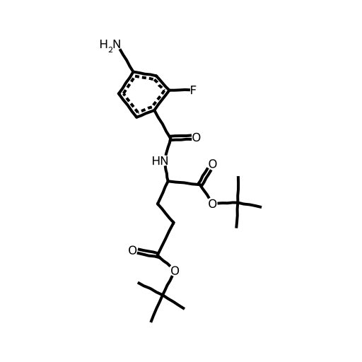 CC(C)(C)OC(=O)CCC(NC(=O)c1ccc(N)cc1F)C(=O)OC(C)(C)C